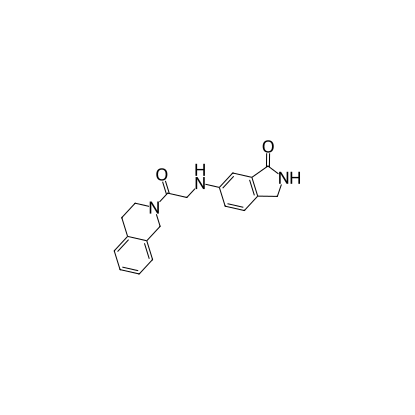 O=C1NCc2ccc(NCC(=O)N3CCc4ccccc4C3)cc21